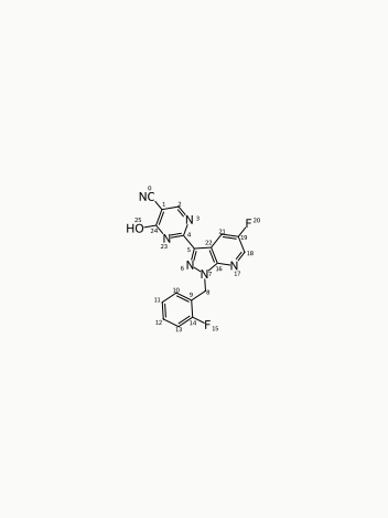 N#Cc1cnc(-c2nn(Cc3ccccc3F)c3ncc(F)cc23)nc1O